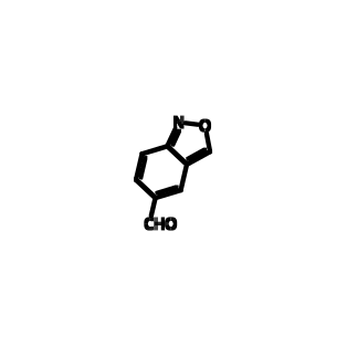 O=Cc1ccc2nocc2c1